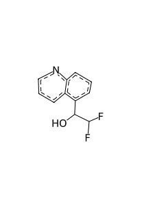 OC(c1cccc2ncccc12)C(F)F